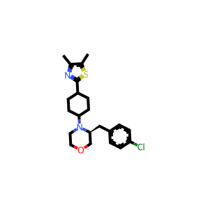 Cc1nc(C2CCC(N3CCOC[C@@H]3Cc3ccc(Cl)cc3)CC2)sc1C